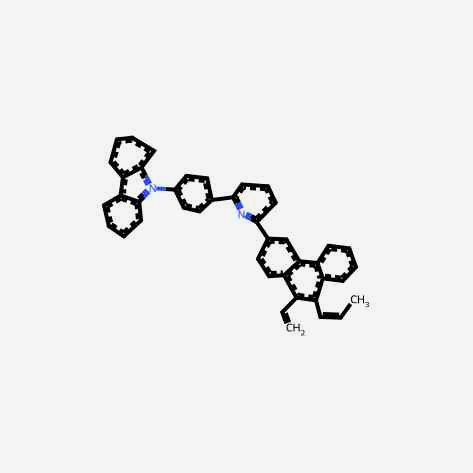 C=Cc1c(/C=C\C)c2ccccc2c2cc(-c3cccc(-c4ccc(-n5c6ccccc6c6ccccc65)cc4)n3)ccc12